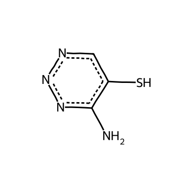 Nc1nnncc1S